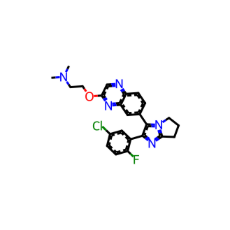 CN(C)CCOc1cnc2ccc(-c3c(-c4cc(Cl)ccc4F)nc4n3CCC4)cc2n1